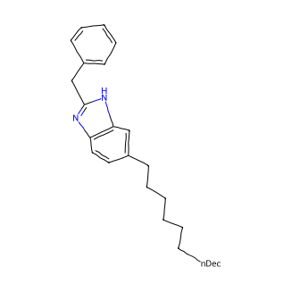 CCCCCCCCCCCCCCCCc1ccc2nc(Cc3ccccc3)[nH]c2c1